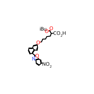 CCC(C)OC(=O)C(CCCCCOc1ccc2c(-c3nc4ccc([N+](=O)[O-])cc4o3)cccc2c1)C(=O)O